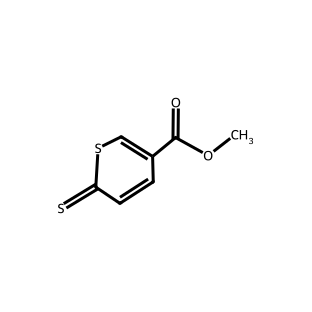 COC(=O)c1ccc(=S)sc1